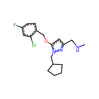 CNCc1cc(OCc2ccc(F)cc2Cl)n(CC2CCCC2)n1